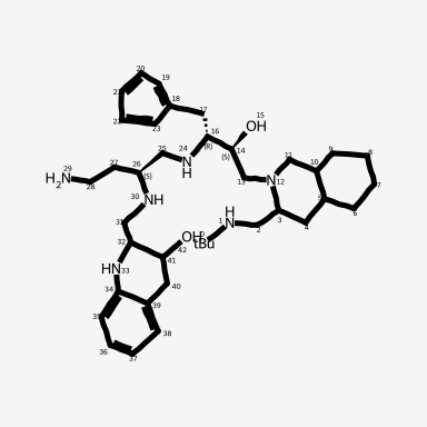 CC(C)(C)NCC1CC2CCCCC2CN1C[C@H](O)[C@@H](Cc1ccccc1)NC[C@H](CCN)NCC1Nc2ccccc2CC1O